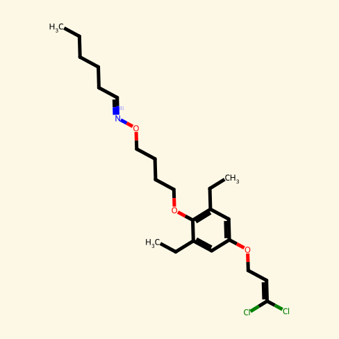 CCCCC/C=N/OCCCCOc1c(CC)cc(OCC=C(Cl)Cl)cc1CC